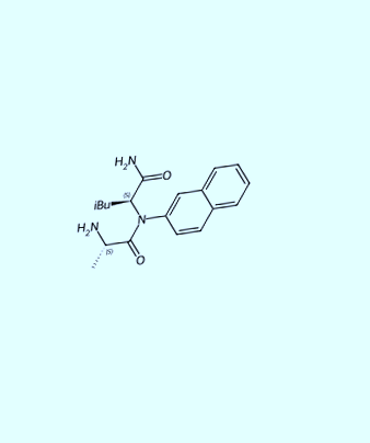 CCC(C)[C@@H](C(N)=O)N(C(=O)[C@H](C)N)c1ccc2ccccc2c1